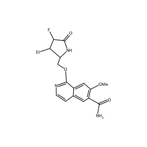 CCC1C(COc2nccc3cc(C(N)=O)c(OC)cc23)NC(=O)C1F